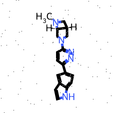 CN1C[C@H]2CN(c3ccc(-c4ccc5[nH]ccc5c4)nn3)C[C@H]21